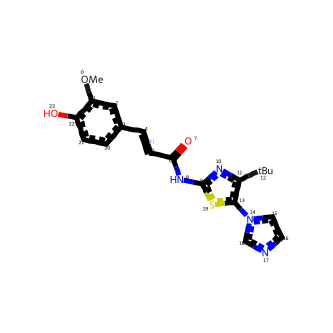 COc1cc(/C=C/C(=O)Nc2nc(C(C)(C)C)c(-n3ccnc3)s2)ccc1O